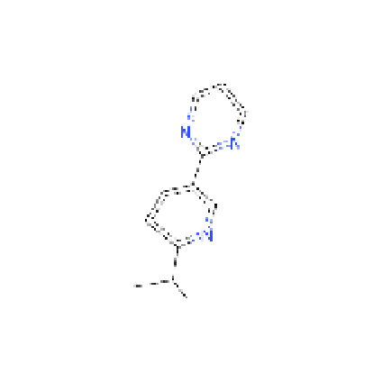 CC(C)c1ccc(-c2ncccn2)cn1